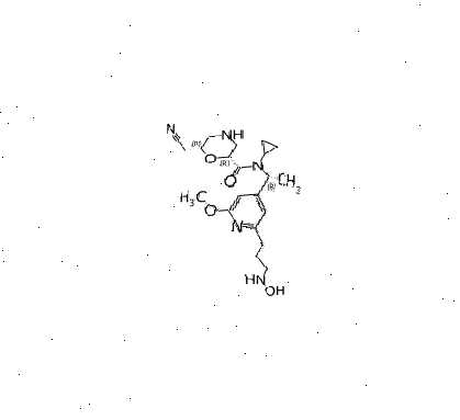 COc1cc([C@@H](C)N(C(=O)[C@H]2CNC[C@@H](CC#N)O2)C2CC2)cc(CCCNO)n1